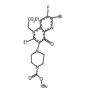 CCOC(=O)Cn1c(CC)c(N2CCN(C(=O)OC(C)(C)C)CC2)c(=O)c2nc(Br)c(F)cc21